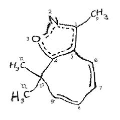 Cc1noc2c1C=CC=CC2(C)C